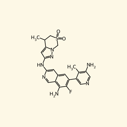 Cc1c(N)cncc1-c1cc2cc(Nc3cc4n(n3)CS(=O)(=O)CC4C)ncc2c(N)c1F